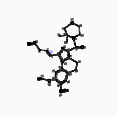 COC/C=C/c1nc(C(=O)N2CCOCC2(C)C)c2n1-c1cc(OC(C)C)c(OC)cc1CC2